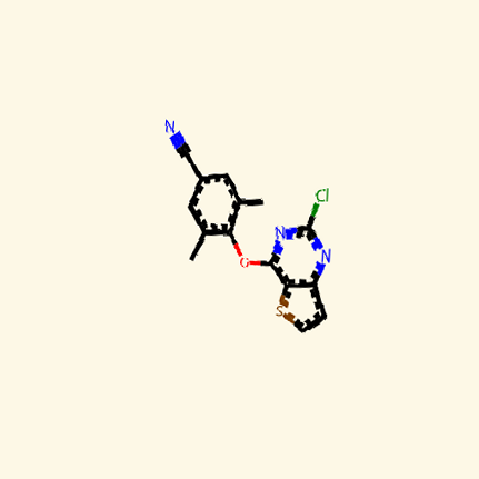 Cc1cc(C#N)cc(C)c1Oc1nc(Cl)nc2ccsc12